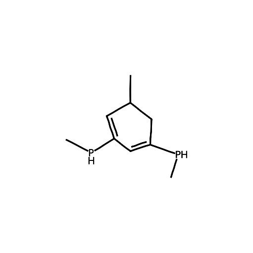 CPC1=CC(C)CC(PC)=C1